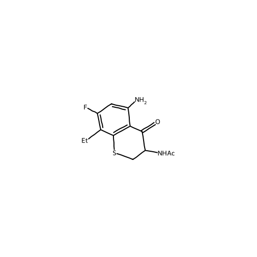 CCc1c(F)cc(N)c2c1SCC(NC(C)=O)C2=O